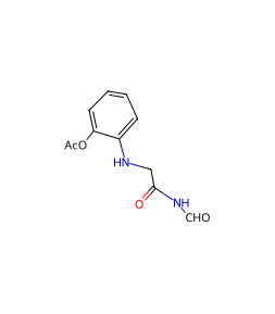 CC(=O)Oc1ccccc1NCC(=O)NC=O